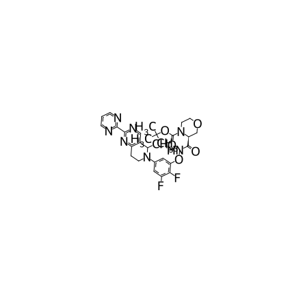 CC1c2cnc(-c3ncccn3)nc2CCN1c1cc(F)c(F)c(ONC(=O)[C@@H]2COCCN2C(=O)OC(C)(C)C)c1